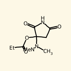 CCC(=O)OC1(N(C)NC)CC(=O)NC1=O